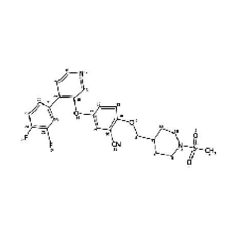 CS(=O)(=O)N1CCC(COc2ccc(Oc3cnccc3-c3ccc(F)c(F)c3)cc2C#N)CC1